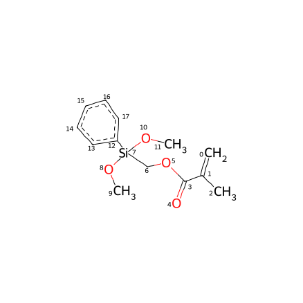 C=C(C)C(=O)OC[Si](OC)(OC)c1ccccc1